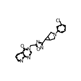 O=c1c2cccnc2ncn1Cc1nc(C2C3CN(c4cccc(Cl)c4)CC32)no1